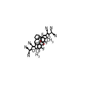 CC1(c2c(F)c(F)c(F)c(F)c2F)OC(=C(C#N)C#N)C(C#N)=C1/C=C/C1=C(Cl)C(=C/C=C2/C(C#N)=C(C(C#N)C#N)OC2(C)c2c(F)c(F)c(F)c(F)c2F)/CCC1